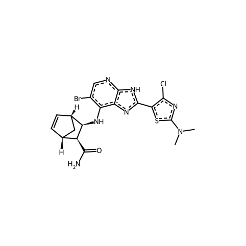 CN(C)c1nc(Cl)c(-c2nc3c(N[C@H]4[C@@H](C(N)=O)[C@@H]5C=C[C@H]4C5)c(Br)cnc3[nH]2)s1